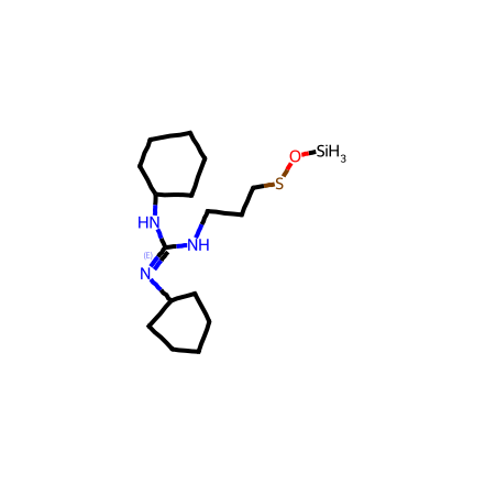 [SiH3]OSCCCN/C(=N\C1CCCCC1)NC1CCCCC1